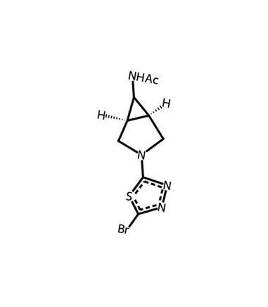 CC(=O)NC1[C@H]2CN(c3nnc(Br)s3)C[C@@H]12